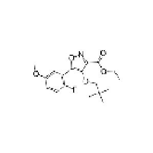 CCOC(=O)c1noc(-c2cc(OC)ccc2F)c1OCC(C)(C)C